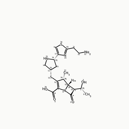 C[C@@H](O)[C@H]1C(=O)N2C(C(=O)O)=C(S[C@@H]3CN[C@H](c4csc(CCN)n4)C3)[C@H](C)[C@H]12